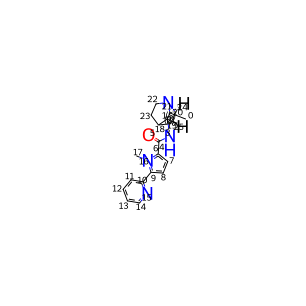 C[C@H]1[C@H](NC(=O)c2ccc(-c3ccccn3)n2C)C2CCN1CC2